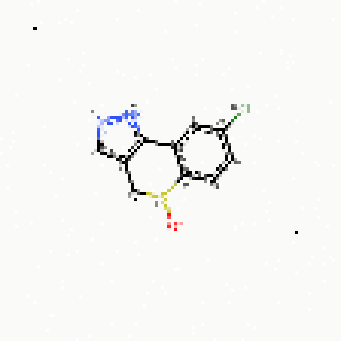 [O-][S+]1Cc2cn[nH]c2-c2cc(Cl)ccc21